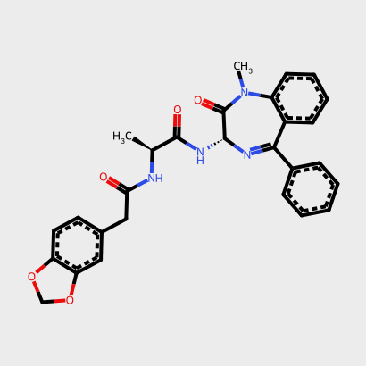 C[C@H](NC(=O)Cc1ccc2c(c1)OCO2)C(=O)N[C@H]1N=C(c2ccccc2)c2ccccc2N(C)C1=O